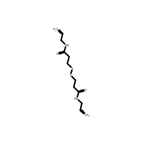 C=CCNC(=O)CCSSCCC(=O)NCC=C